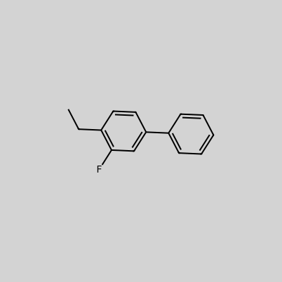 CCc1ccc(-c2ccccc2)cc1F